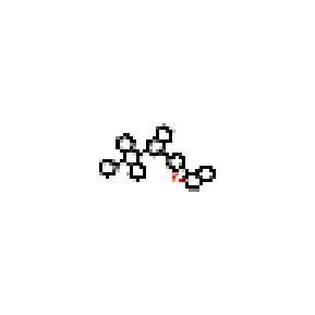 c1ccc(-c2c3ccccc3c(-c3cc(-c4ccc5c(c4)oc4ccc6ccccc6c45)c4ccccc4c3)c3ccccc23)cc1